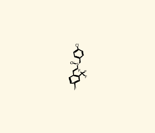 [O-][S+](C=Cc1ccc(F)cc1C(F)(F)F)Cc1ccc(Cl)cc1